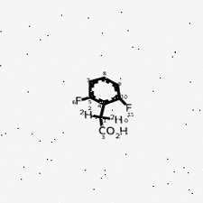 [2H]C([2H])(C(=O)O)c1c(F)cccc1F